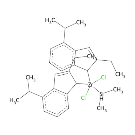 CCC1=Cc2c(C(C)C)cccc2[CH]1[Zr]([Cl])([Cl])([CH]1C(CC)=Cc2c(C(C)C)cccc21)[SiH](C)C